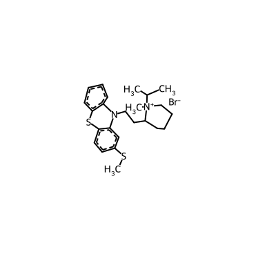 CSc1ccc2c(c1)N(CCC1CCCC[N+]1(C)C(C)C)c1ccccc1S2.[Br-]